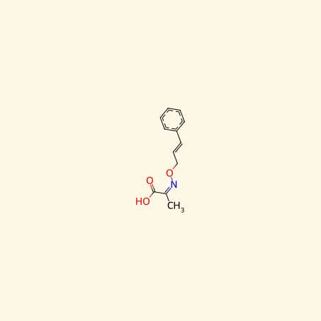 CC(=NOCC=Cc1ccccc1)C(=O)O